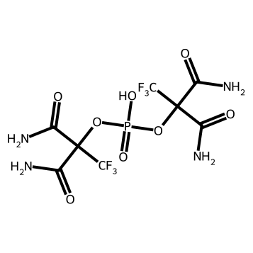 NC(=O)C(OP(=O)(O)OC(C(N)=O)(C(N)=O)C(F)(F)F)(C(N)=O)C(F)(F)F